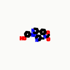 O=C1COc2ccc(-c3ccnc(Nc4cccc(O)c4)c3)cc2N1Cc1cccnc1